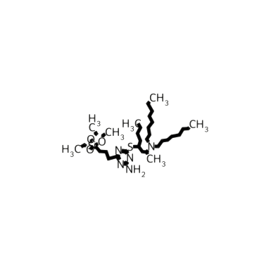 CCCCCCCCN(CCCCCCCC)C(C)CC(CCCC)Sc1nc(N)nc(CCC[Si](OCC)(OCC)OCC)n1